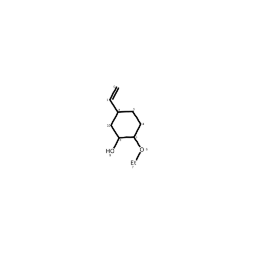 C=CC1CCC(OCC)C(O)C1